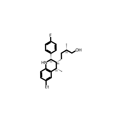 CCc1ccc2c(c1)[C@@H](C)[C@@H](CC[C@H](C)CO)[C@@H](c1ccc(F)cc1)N2